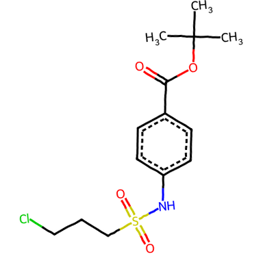 CC(C)(C)OC(=O)c1ccc(NS(=O)(=O)CCCCl)cc1